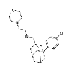 Clc1ccc(C23CC4CC(CC(CNCCN5CCOCC5)(C4)C2)C3)cc1